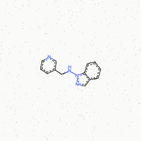 c1cncc(CNn2ncc3ccccc32)c1